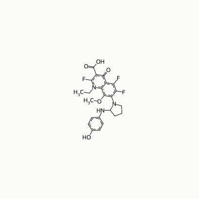 CCn1c(F)c(C(=O)O)c(=O)c2c(F)c(F)c(N3CCCC3Nc3ccc(O)cc3)c(OC)c21